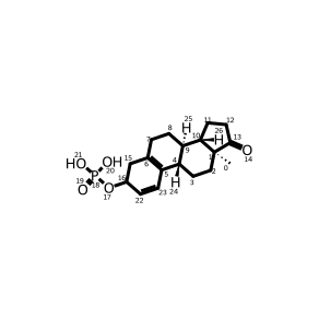 C[C@]12CC[C@@H]3C4=C(CC[C@H]3[C@@H]1CCC2=O)CC(OP(=O)(O)O)C=C4